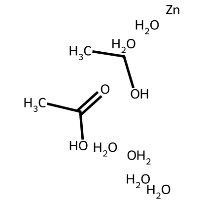 CC(=O)O.CCO.O.O.O.O.O.O.[Zn]